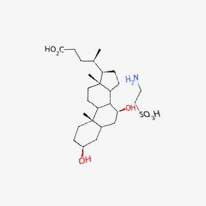 C[C@H](CCC(=O)O)[C@H]1CCC2C3C(CC[C@@]21C)[C@@]1(C)CC[C@H](O)CC1C[C@@H]3O.NCCS(=O)(=O)O